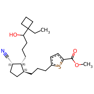 CCC1(C(O)CCC[C@@H]2[C@@H](CCCc3ccc(C(=O)OC)s3)CC[C@@H]2C#N)CCC1